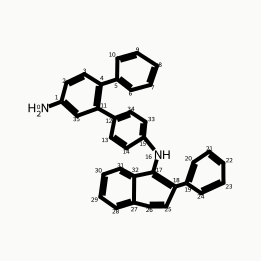 Nc1ccc(-c2ccccc2)c(-c2ccc(Nc3c(-c4ccccc4)ccc4ccccc34)cc2)c1